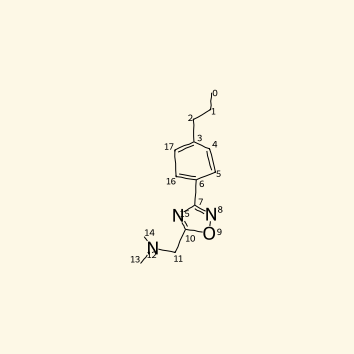 CCCc1ccc(-c2noc(CN(C)C)n2)cc1